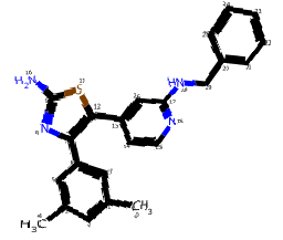 Cc1cc(C)cc(-c2nc(N)sc2-c2ccnc(NCc3ccccc3)c2)c1